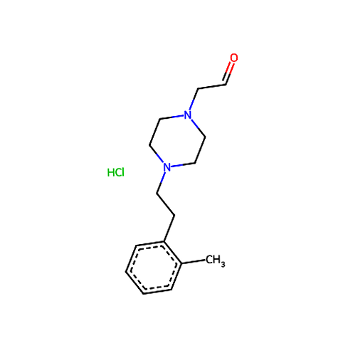 Cc1ccccc1CCN1CCN(CC=O)CC1.Cl